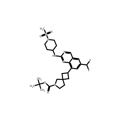 CC(C)(C)OC(=O)N1CCC2(CC(c3cc(C(F)F)cc4cnc(NC5CCN(S(C)(=O)=O)CC5)nc34)C2)C1